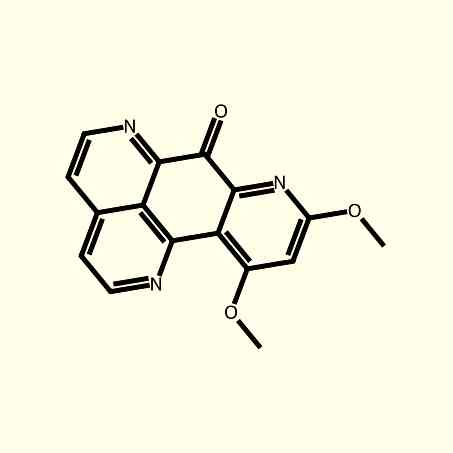 COc1cc(OC)c2c(n1)C(=O)c1nccc3ccnc-2c13